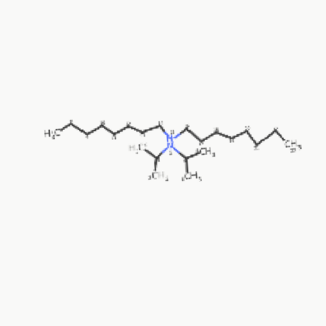 CC(C)NC(C)C.CCCCCCCCNCCCCCCCC